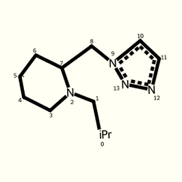 CC(C)CN1CC[CH]CC1Cn1ccnn1